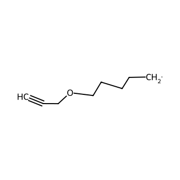 C#CCOCCCC[CH2]